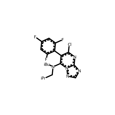 CCC(C)N(CC(C)C)c1c(-c2c(F)cc(F)cc2F)c(Cl)nc2ncnn12